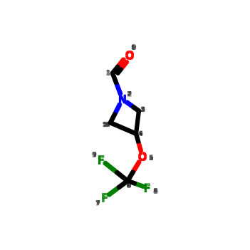 O=CN1CC(OC(F)(F)F)C1